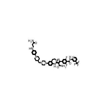 NC(=O)CCNc1ccc(N2CCC(CN3CCN(c4ccc5c(c4)CCn4nc(-c6cc(F)c(C(=O)Nc7cc(C(F)(F)F)ccn7)c(F)c6)c(C(N)=O)c4N5)CC3)CC2)cc1